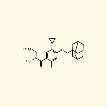 CCOC(=O)CN(C)C(=O)c1cc(C2CC2)c(OCC23CC4CC(CC(C4)C2)C3)cc1F